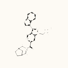 CS(=O)(=O)Cn1nc(-c2coc3ccccc23)c2cnc(C(=O)N3CC4CCC(C4)C3)cc21